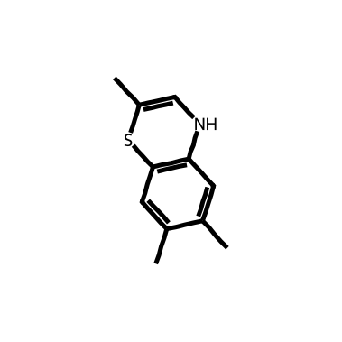 CC1=CNc2cc(C)c(C)cc2S1